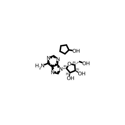 Nc1ncnc2c1ncn2[C@@H]1O[C@H](CO)[C@@H](O)[C@H]1O.OC1CCCC1